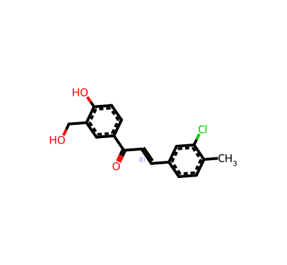 Cc1ccc(/C=C/C(=O)c2ccc(O)c(CO)c2)cc1Cl